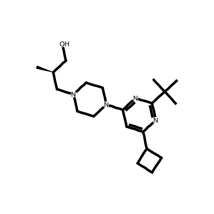 C[C@@H](CO)CN1CCN(c2cc(C3CCC3)nc(C(C)(C)C)n2)CC1